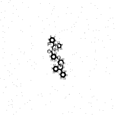 O=C(NCC(c1ccccc1F)N1CCCC1)c1cccc(OC2CCN(CC(c3ccccc3)c3ccccc3)CC2)c1